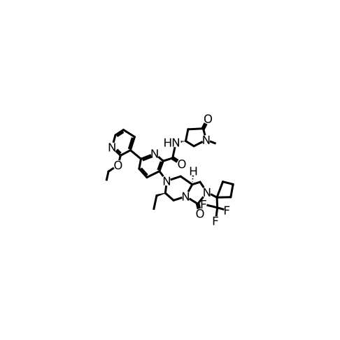 CCOc1ncccc1-c1ccc(N2C[C@H]3CN(C4(C(F)(F)F)CCC4)C(=O)N3C[C@H]2CC)c(C(=O)N[C@@H]2CC(=O)N(C)C2)n1